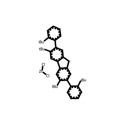 CCC(C)c1ccccc1-c1cc2c(cc1C(C)(C)C)-c1cc(C(C)(C)C)c(-c3ccccc3C(C)CC)cc1[CH]2.[Cl][Zr][Cl]